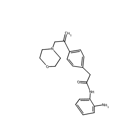 C=C(CN1CCOCC1)c1ccc(CC(=O)Nc2ccccc2N)cc1